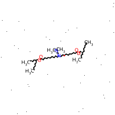 CCCCCCC(CCCC)COC(=O)CCCCCCCCCN(CCCCCCCCCC(=O)OCC(CCCC)CCCCCC)CCN(C)C